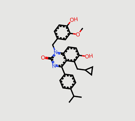 COc1cc(Cn2c(=O)nc(-c3ccc(C(C)C)cc3)c3c(CC4CC4)c(O)ccc32)ccc1O